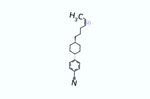 C/C=C\CCC[C@H]1CC[C@H](c2ccc(C#N)cc2)CC1